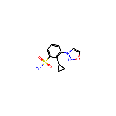 NS(=O)(=O)c1cccc(N2C=CON2)c1C1CC1